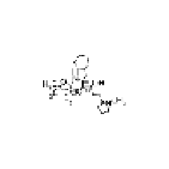 Cn1ccnc1CC[C@H](O)[C@H](O)[C@H](CC1CCCCC1)NC(=O)OC(C)(C)C